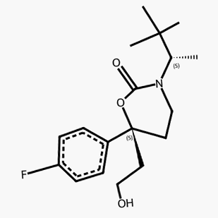 C[C@H](N1CC[C@](CCO)(c2ccc(F)cc2)OC1=O)C(C)(C)C